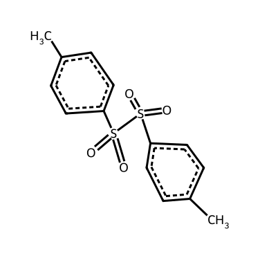 Cc1ccc(S(=O)(=O)S(=O)(=O)c2ccc(C)cc2)cc1